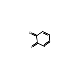 O=C1[C]=CC=NC1=S